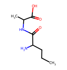 CCCC(N)C(=O)NC(C)C(=O)O